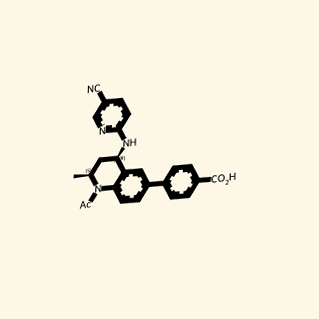 CC(=O)N1c2ccc(-c3ccc(C(=O)O)cc3)cc2[C@H](Nc2ccc(C#N)cn2)C[C@@H]1C